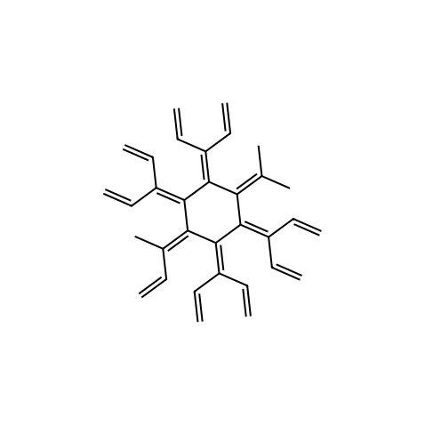 C=CC(C)=c1c(=C(C=C)C=C)c(=C(C=C)C=C)c(=C(C)C)c(=C(C=C)C=C)c1=C(C=C)C=C